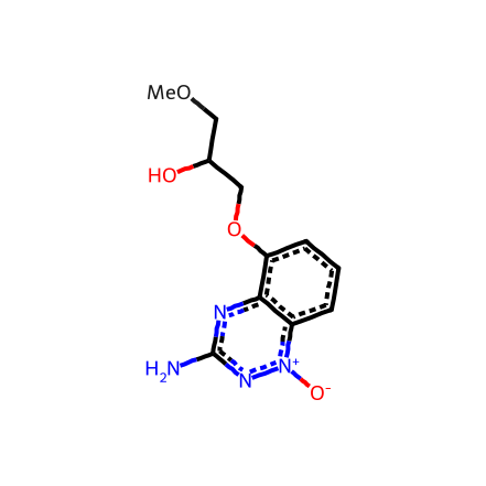 COCC(O)COc1cccc2c1nc(N)n[n+]2[O-]